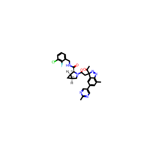 CC(=O)C1(CC(=O)N2C[C@H]3C[C@H]3[C@H]2C(=O)NCc2cccc(Cl)c2F)N=Nc2c(C)cc(-c3cnc(C)nc3)cc21